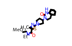 CCN(CCOC)C(=O)c1sc(N2CCC(N3CCc4ccccc4NC3=O)CC2)nc1C